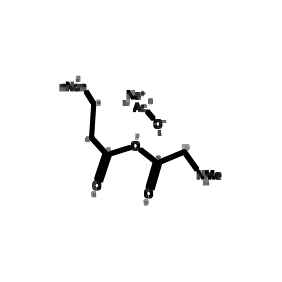 CC(=O)[O-].CCCCCCCCCCCC(=O)OC(=O)CNC.[Na+]